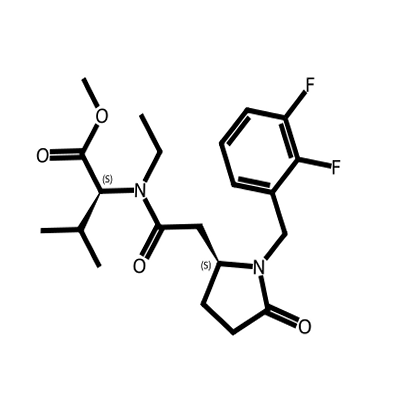 CCN(C(=O)C[C@@H]1CCC(=O)N1Cc1cccc(F)c1F)[C@H](C(=O)OC)C(C)C